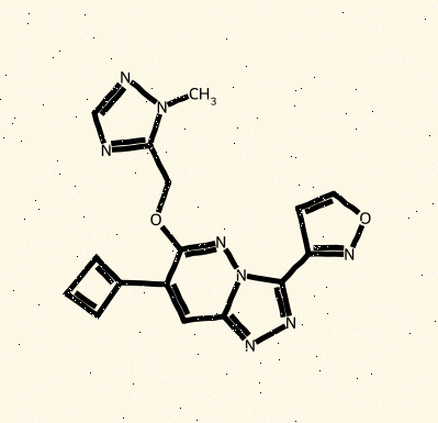 Cn1ncnc1COc1nn2c(-c3ccon3)nnc2cc1C1=CC=C1